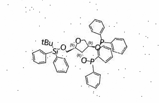 CC(C)(C)[Si](OC[C@H]1OC[C@@H](OP(c2ccccc2)c2ccccc2)[C@@H]1OP(c1ccccc1)c1ccccc1)(c1ccccc1)c1ccccc1